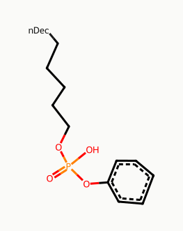 CCCCCCCCCCCCCCCOP(=O)(O)Oc1ccccc1